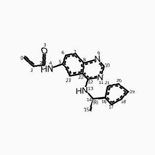 C=CC(=O)Nc1ccc2ncnc(N[C@H](C)c3ccccc3)c2c1